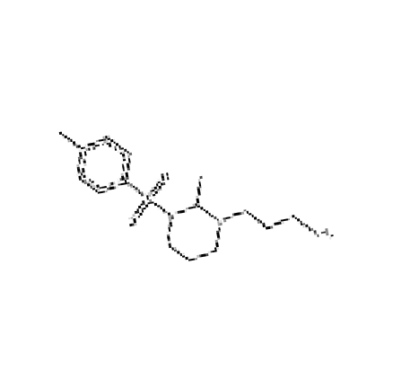 Cc1ccc(S(=O)(=O)N2CCCN(CCCN)C2C)cc1